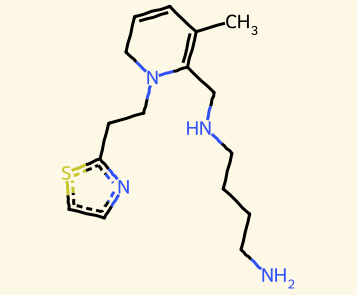 CC1=C(CNCCCCN)N(CCc2nccs2)CC=C1